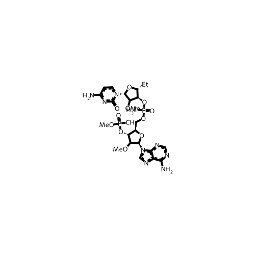 CC[C@H]1O[C@@H](n2ccc(N)nc2=O)C(OC)[C@@H]1OP(C)(=O)OC[C@H]1O[C@@H](n2cnc3c(N)ncnc32)C(OC)[C@@H]1OP(C)(=O)OC